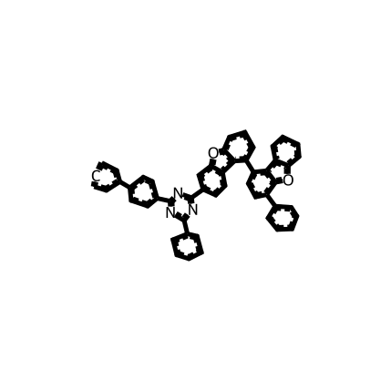 c1ccc(-c2ccc(-c3nc(-c4ccccc4)nc(-c4ccc5c(c4)oc4cccc(-c6ccc(-c7ccccc7)c7oc8ccccc8c67)c45)n3)cc2)cc1